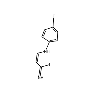 N=C(I)/C=C\Nc1ccc(F)cc1